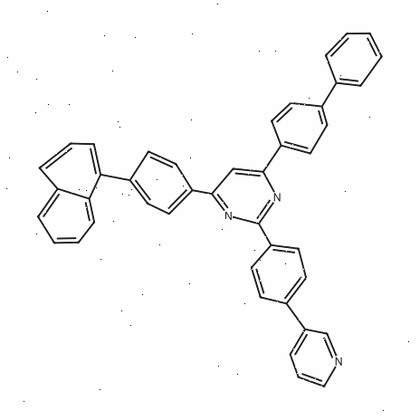 c1ccc(-c2ccc(-c3cc(-c4ccc(-c5cccc6ccccc56)cc4)nc(-c4ccc(-c5cccnc5)cc4)n3)cc2)cc1